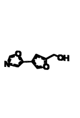 OCc1cc(-c2cnco2)co1